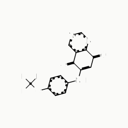 O=C1C(Nc2ccc(OC(F)(F)F)cc2)=CC(=O)c2ncncc21